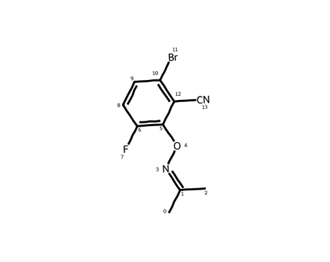 CC(C)=NOc1c(F)ccc(Br)c1C#N